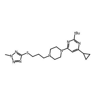 Cn1nnc(SCCCN2CCN(c3cc(C4CC4)nc(C(C)(C)C)n3)CC2)n1